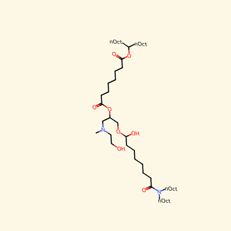 CCCCCCCCC(CCCCCCCC)OC(=O)CCCCCCC(=O)OC(COC(O)CCCCCCC(=O)N(CCCCCCCC)CCCCCCCC)CN(C)CCO